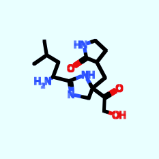 CC(C)CC(N)C1=NCC(CC2CCNC2=O)(C(=O)CO)N1